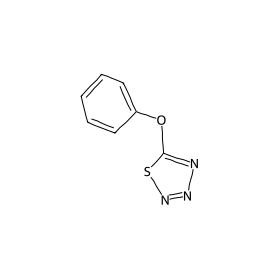 c1ccc(Oc2nnns2)cc1